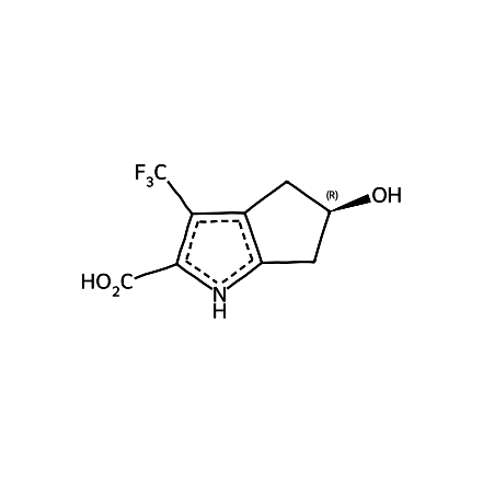 O=C(O)c1[nH]c2c(c1C(F)(F)F)C[C@@H](O)C2